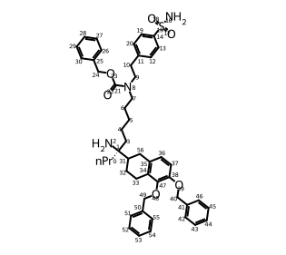 CCC[C@](N)(CCCCCN(CCc1ccc(S(N)(=O)=O)cc1)C(=O)OCc1ccccc1)C1CCc2c(ccc(OCc3ccccc3)c2OCc2ccccc2)C1